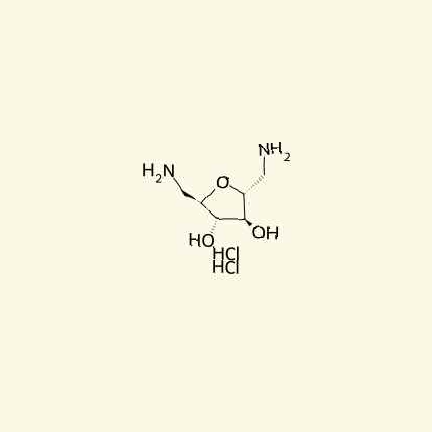 Cl.Cl.NC[C@H]1O[C@H](CN)[C@@H](O)[C@@H]1O